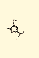 Cc1nn(C(F)F)cc1C(C)C